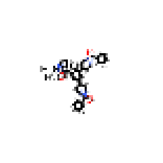 CC1C(C2CCN(C(=O)c3ccccc3)CC2)=CC(C2CCN(C(=O)c3ccccc3)CC2)=CC1(CC(=O)N(C)C)C(=O)O